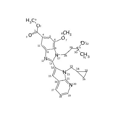 COC(=O)c1cc(OC)c2c(c1)nc(-c1cc3cccnc3n1CC1CC1)n2CC[S+](C)[O-]